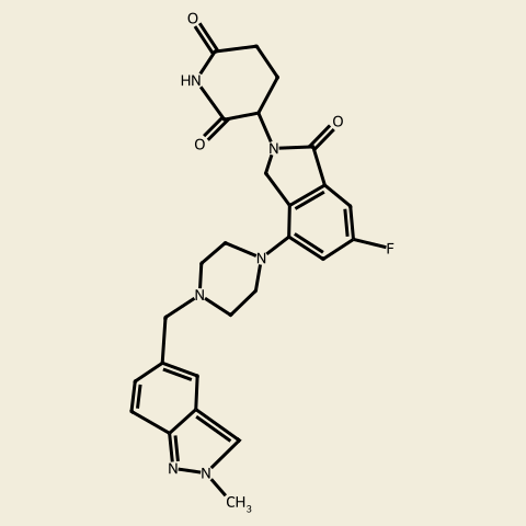 Cn1cc2cc(CN3CCN(c4cc(F)cc5c4CN(C4CCC(=O)NC4=O)C5=O)CC3)ccc2n1